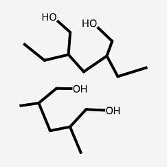 CC(CO)CC(C)CO.CCC(CO)CC(CC)CO